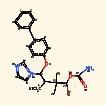 CCOC(=O)C(C(Oc1ccc(-c2ccccc2)cc1)n1ccnc1)C(C)(C)C(Br)OC(N)=O